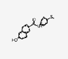 CSc1ccc(NC(=O)c2ccc3cc(O)ccc3c2)cc1